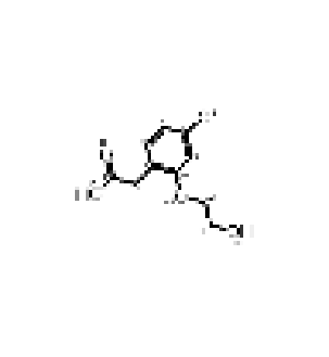 O=C(O)Cc1ccc(Cl)cc1OCCO